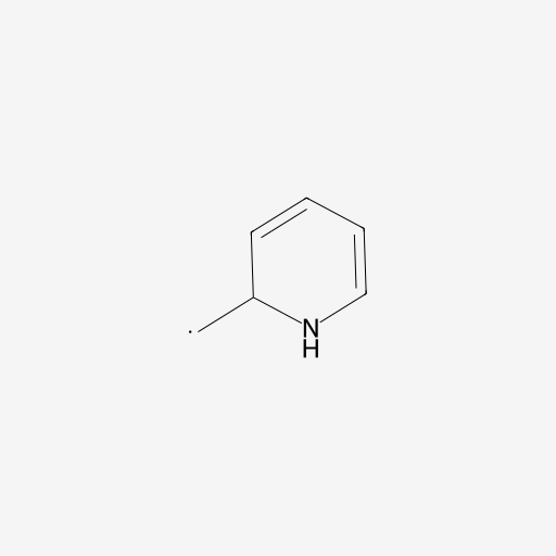 [CH2]C1C=CC=CN1